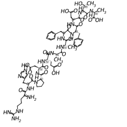 C[C@H](NC(=O)[C@@H](NC(=O)[C@H](CC(=O)O)NC(=O)[C@H](Cc1ccccc1)NC(=O)[C@H](Cc1ccccc1)NC(=O)[C@H](C)NC(=O)[C@H](C)NC(=O)[C@H](CCC(=O)O)NC(=O)[C@H](CC(=O)O)NC(=O)[C@@H]1CCCN1C(=O)[C@H](Cc1c[nH]cn1)NC(=O)[C@@H](N)CCCNC(=N)N)[C@@H](C)O)C(=O)O